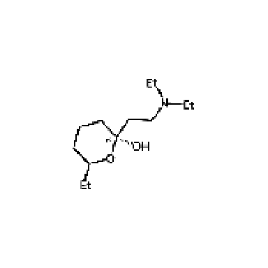 CCC1CCC[C@@](O)(CCN(CC)CC)O1